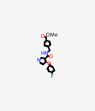 COC(=O)c1ccc(CNC(=O)c2cnccc2Oc2ccc(F)cc2)cc1